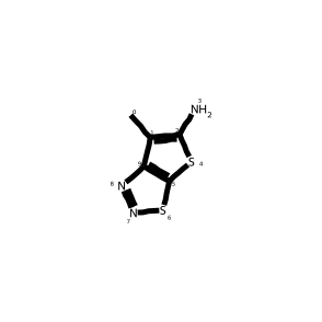 Cc1c(N)sc2snnc12